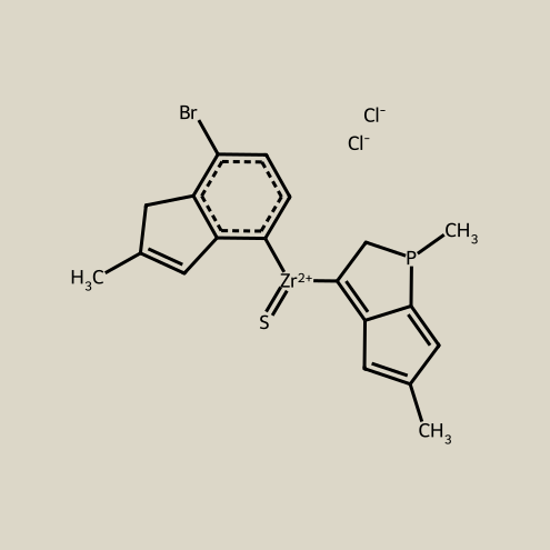 CC1=CC2=[C]([Zr+2](=[S])[c]3ccc(Br)c4c3C=C(C)C4)CP(C)C2=C1.[Cl-].[Cl-]